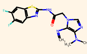 C=Nc1c(N(C)C=O)ncn1CC(=O)Nc1nc2cc(F)c(F)cc2s1